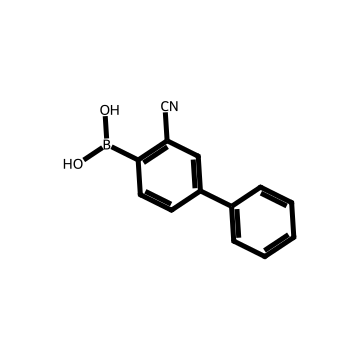 N#Cc1cc(-c2ccccc2)ccc1B(O)O